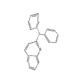 c1ccc(C(c2ccccc2)c2ccc3ccccc3n2)cc1